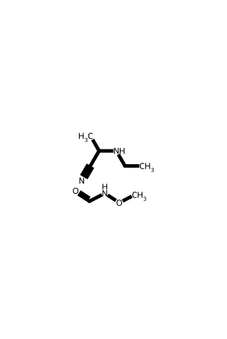 CCNC(C)C#N.CONC=O